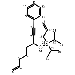 C=CCCCC(C#Cc1ccccc1)O[Si](CC=C)(C(C)C)C(C)C